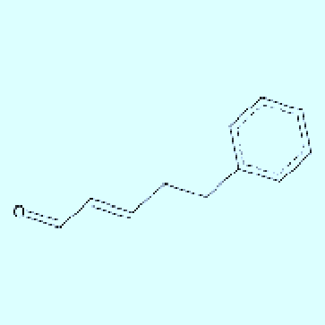 O=CC=CCCc1ccccc1